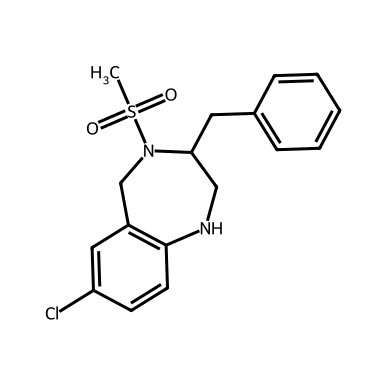 CS(=O)(=O)N1Cc2cc(Cl)ccc2NCC1Cc1ccccc1